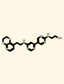 OCCNc1ncc(-c2cc(NCCc3ccnc4c3OCCO4)ncn2)cn1